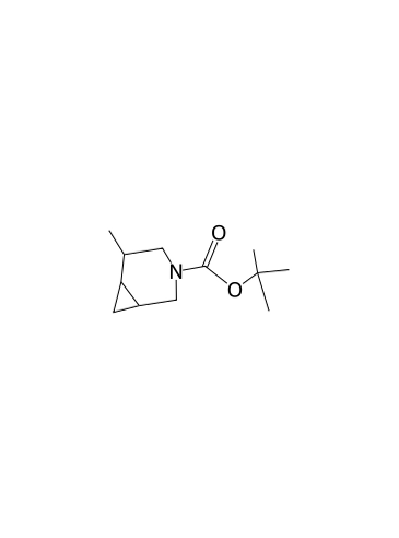 CC1CN(C(=O)OC(C)(C)C)CC2CC12